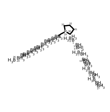 B.B.B.B.B.B.B.B.B.B.B.B.B.B.B.B.B.B.B.B.B.B.B.B.B.B.B.B.CP1CCCC1